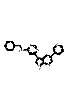 c1ccc(CNc2cc(-c3c[nH]c4ncc(-c5cccnc5)cc34)ncn2)cc1